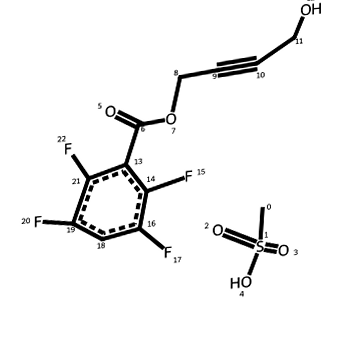 CS(=O)(=O)O.O=C(OCC#CCO)c1c(F)c(F)cc(F)c1F